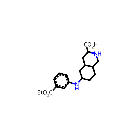 CCOC(=O)c1cccc(NC2CCC3CNC(C(=O)O)CC3C2)c1